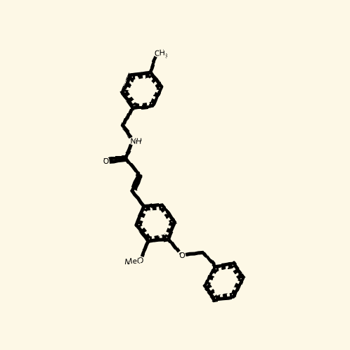 COc1cc(C=CC(=O)NCc2ccc(C)cc2)ccc1OCc1ccccc1